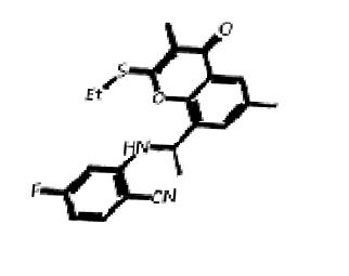 CCSc1oc2c([C@@H](C)Nc3cc(F)ccc3C#N)cc(C)cc2c(=O)c1C